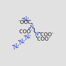 C[N+](C)(C)C.C[N+](C)(C)C.C[N+](C)(C)C.C[N+](C)(C)C.O=C([O-])CN(CCN(CC(=O)[O-])CC(=O)[O-])CC(=O)[O-]